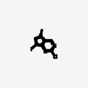 Cn1cc(I)c2nc(Cl)ncc21